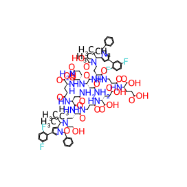 CC(C)(C)[C@H](c1cc(-c2cc(F)ccc2F)cn1Cc1ccccc1)N(CC[C@H](NC(=O)[C@H](CC(N)=O)NC(=O)CC[C@H](NC(=O)[C@H](CCC(N)=O)N[C@@H](CC(N)=O)C(=O)N[C@@H](CCN(C(=O)CO)[C@@H](c1cc(-c2cc(F)ccc2F)cn1Cc1ccccc1)C(C)(C)C)C(=O)NCCC(=O)N[C@H](CCC(=O)O)C(=O)O)C(=O)O)C(=O)NCCC(=O)N[C@H](CCC(=O)O)C(=O)O)C(=O)CO